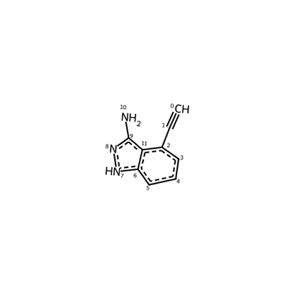 C#Cc1cccc2[nH]nc(N)c12